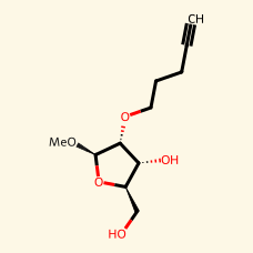 C#CCCCO[C@H]1[C@H](OC)O[C@H](CO)[C@H]1O